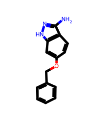 Nc1n[nH]c2cc(OCc3ccccc3)ccc12